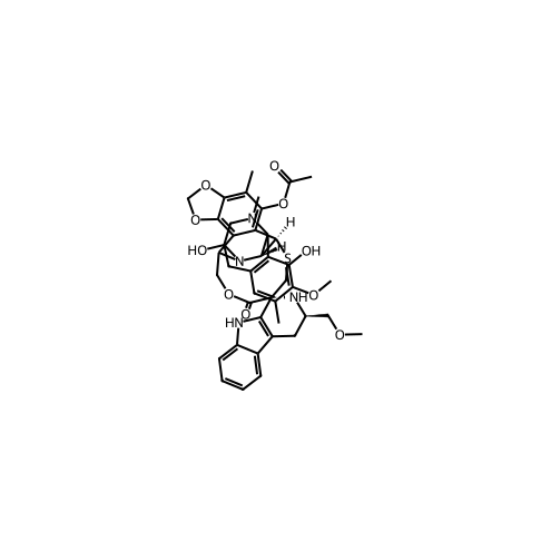 COC[C@H]1Cc2c([nH]c3ccccc23)[C@@]2(CS[C@@H]3c4c(OC(C)=O)c(C)c5c(c4C(COC2=O)N2[C@@H]3C3c4c(cc(C)c(OC)c4O)CC2(O)CN3C)OCO5)N1